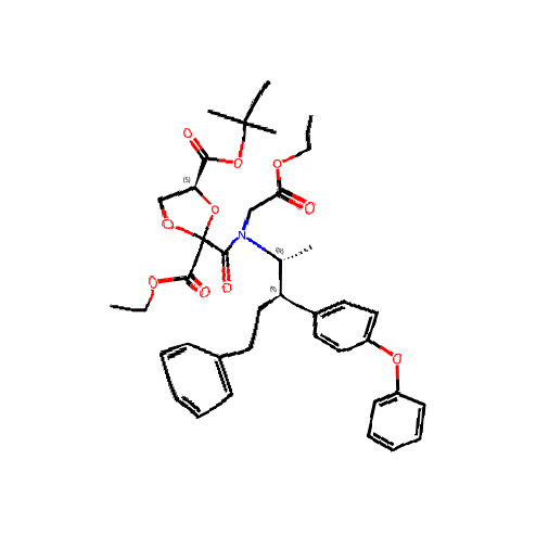 CCOC(=O)CN(C(=O)C1(C(=O)OCC)OC[C@@H](C(=O)OC(C)(C)C)O1)[C@H](C)[C@H](CCc1ccccc1)c1ccc(Oc2ccccc2)cc1